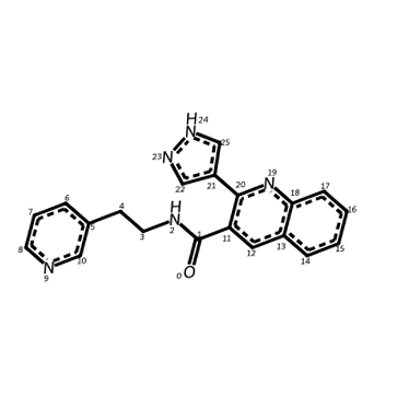 O=C(NCCc1cccnc1)c1cc2ccccc2nc1-c1cn[nH]c1